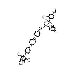 O=c1n(-c2ccc(N3CCN(c4ccc(OCC5COC(Cn6cncn6)(c6ccc(Cl)cc6Cl)O5)cc4)CC3)cc2)c(=O)n2n1CCC2